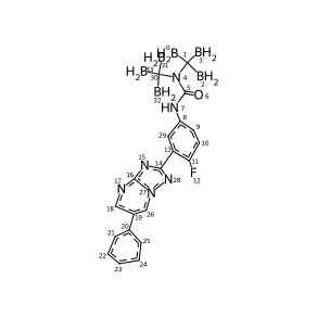 BC(B)(B)N(C(=O)Nc1ccc(F)c(-c2nc3ncc(-c4ccccc4)cn3n2)c1)C(B)(B)B